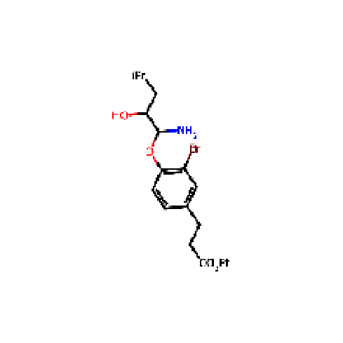 CCOC(=O)CCc1ccc(OC(N)C(O)CC(C)C)c(Br)c1